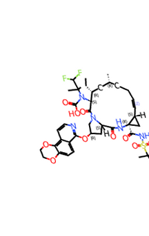 CC[C@@H]1C[C@H](C)CC/C=C\[C@@H]2C[C@@]2(C(=O)NS(=O)(=O)C2(C)CC2)NC(=O)[C@@H]2C[C@@H](Oc3nccc4c5c(ccc34)OCCO5)CN2C(=O)[C@H]1N(C(=O)O)C(C)(C)C(F)F